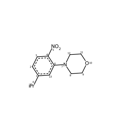 CC(C)c1ccc([N+](=O)[O-])c(N2CCOCC2)c1